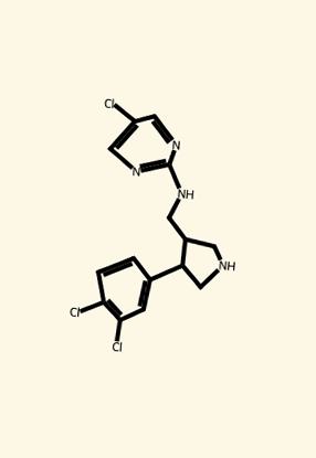 Clc1cnc(NCC2CNCC2c2ccc(Cl)c(Cl)c2)nc1